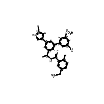 Cc1ccc(CN)cc1C(=O)NC(C)c1cc(-c2cc(Cl)cc(C(=O)O)c2)cc(-c2cnn(C)c2)c1